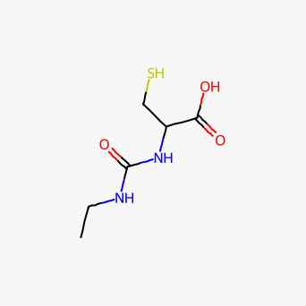 CCNC(=O)NC(CS)C(=O)O